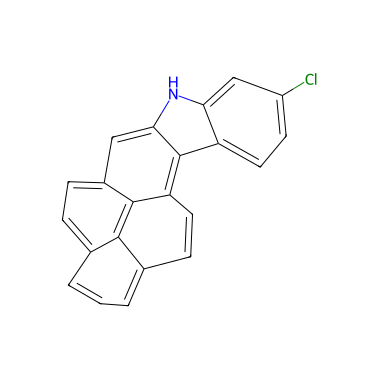 Clc1ccc2c(c1)[nH]c1cc3ccc4cccc5ccc(c12)c3c45